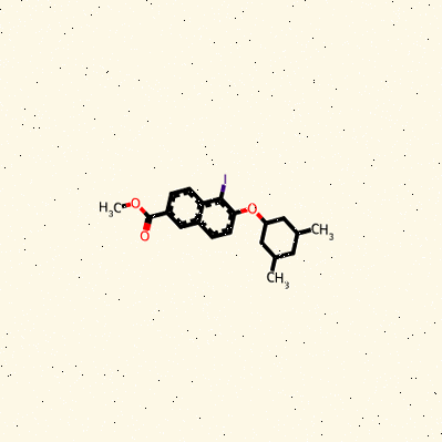 COC(=O)c1ccc2c(I)c(OC3CC(C)CC(C)C3)ccc2c1